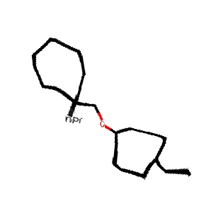 CCCC1(COC2CCC(C)CC2)CCCCC1